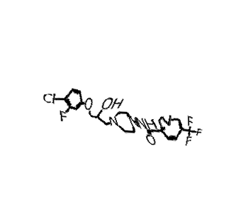 O=C(NN1CCN(CC(O)COc2ccc(Cl)c(F)c2)CC1)c1ccc(C(F)(F)F)cn1